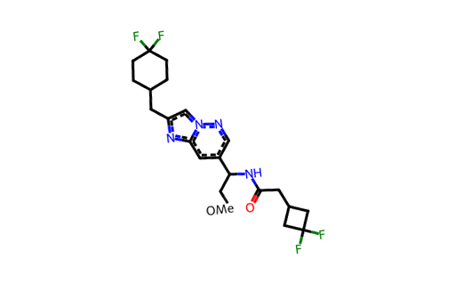 COCC(NC(=O)CC1CC(F)(F)C1)c1cnn2cc(CC3CCC(F)(F)CC3)nc2c1